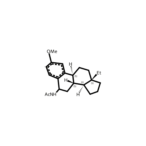 CC[C@@]12CCC[C@H]1[C@@H]1CC(NC(C)=O)c3c[c]c(OC)cc3[C@H]1CC2